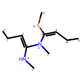 CC/C=C(\NC)N(C)/C(=C\CC)SC